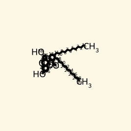 CCCCCCCCCCCCc1ccc2c(c1CCCCCCCCCCCC)C(=O)OC21c2ccc(O)cc2Oc2cc(O)ccc21